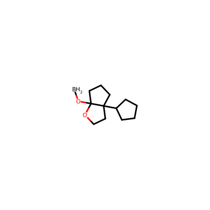 BOC12CCCC1(C1CCCC1)CCO2